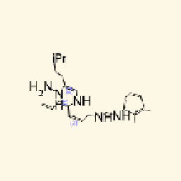 C=C/C=C(\C=C/CNCNc1cccc(C)c1C)N/C=C(/CCC(C)C)NN